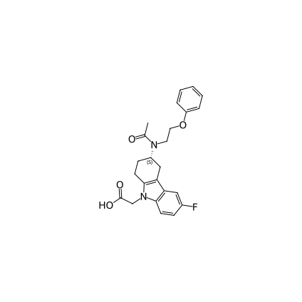 CC(=O)N(CCOc1ccccc1)[C@H]1CCc2c(c3cc(F)ccc3n2CC(=O)O)C1